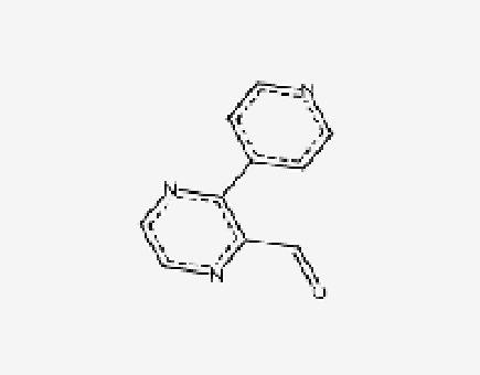 O=Cc1nccnc1-c1ccncc1